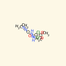 COc1cc(OC)c(Cl)c(-c2ccc3c(NC(=O)c4ccc(N5CCN(C(C)C)CC5)cc4)n[nH]c3c2)c1Cl